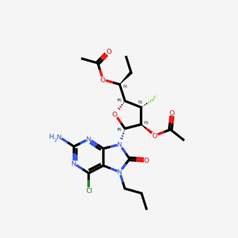 CCCn1c(=O)n([C@@H]2O[C@H]([C@H](CC)OC(C)=O)[C@H](F)[C@H]2OC(C)=O)c2nc(N)nc(Cl)c21